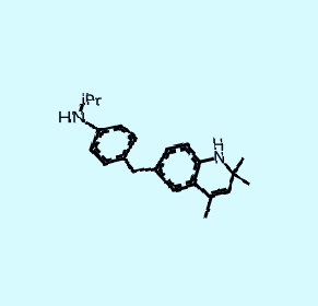 CC1=CC(C)(C)Nc2ccc(Cc3ccc(NC(C)C)cc3)cc21